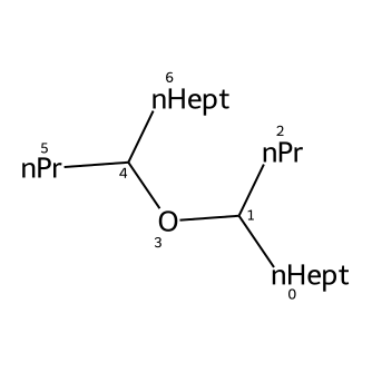 CCCCCCCC(CCC)OC(CCC)CCCCCCC